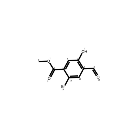 COC(=O)c1cc(O)c(C=O)cc1Br